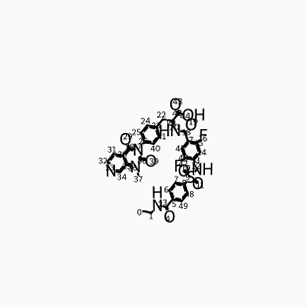 CCNC(=O)c1ccc(S(=O)(=O)Nc2cc(F)c(C(=O)N[C@@H](Cc3ccc(-n4c(=O)c5ccncc5n(C)c4=O)cc3)C(=O)O)cc2F)cc1